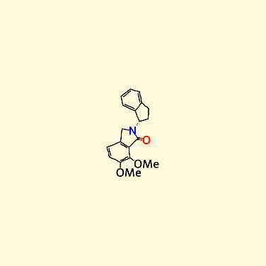 COc1ccc2c(c1OC)C(=O)N([C@H]1CCc3ccccc31)C2